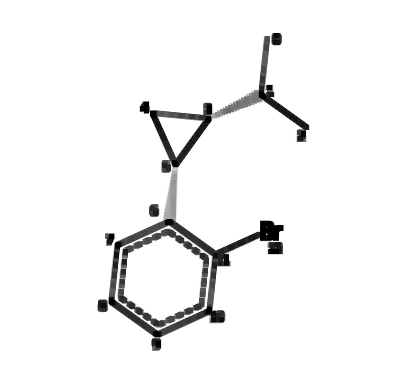 CC(C)[C@H]1C[C@H]1c1ccccc1Br